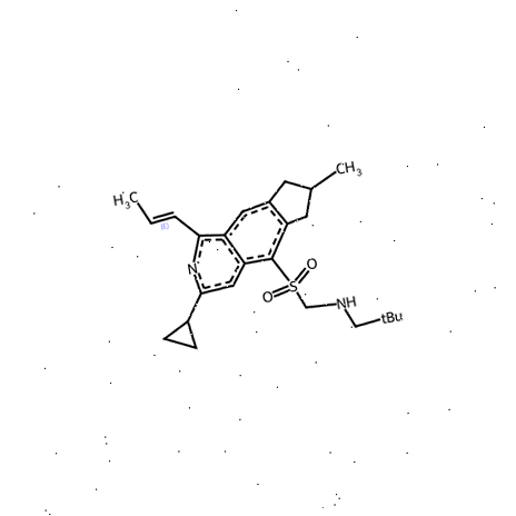 C/C=C/c1nc(C2CC2)cc2c(S(=O)(=O)CNCC(C)(C)C)c3c(cc12)CC(C)C3